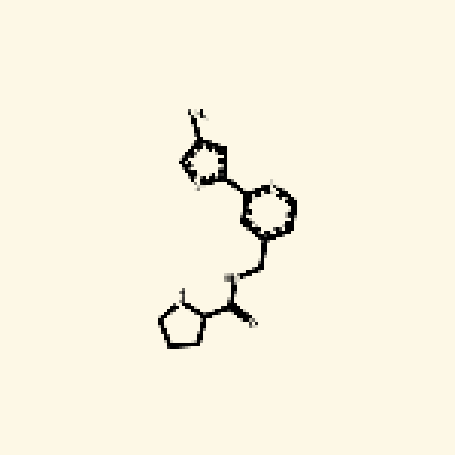 Cc1csc(-c2cc(CNC(=O)C3CCCN3)ccn2)c1